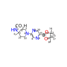 CC1(NC(=O)O)CCN(c2cnc(B3OC(C)(C)C(C)(C)O3)cn2)CC1